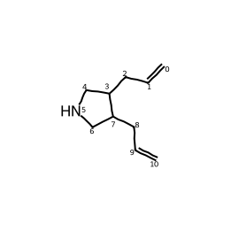 C=CCC1CNCC1CC=C